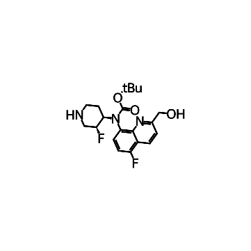 CC(C)(C)OC(=O)N(c1ccc(F)c2ccc(CO)nc12)[C@@H]1CCNC[C@@H]1F